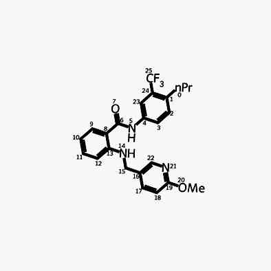 CCCc1ccc(NC(=O)c2ccccc2NCc2ccc(OC)nc2)cc1C(F)(F)F